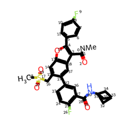 CNC(=O)c1c(-c2ccc(F)cc2)oc2cc(CS(C)(=O)=O)c(-c3ccc(F)c(C(=O)NC45CC(C4)C5)c3)cc12